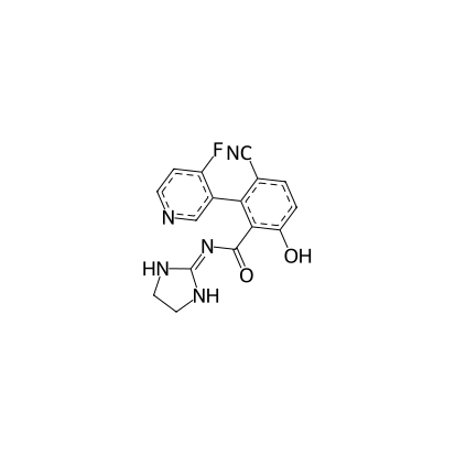 N#Cc1ccc(O)c(C(=O)N=C2NCCN2)c1-c1cnccc1F